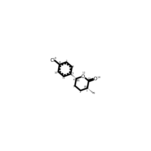 C[C@@H]1CC[C@H](c2ccc(Cl)cc2)OC1=O